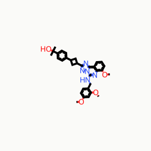 COc1ccc(CNc2nc3c(OC)cccc3c3nc(C4CC(c5ccc(C(C)(C)O)cc5)C4)nn23)c(OC)c1